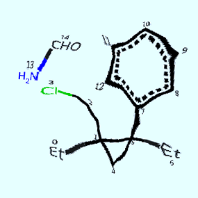 CCC1(CCl)CC1(CC)c1ccccc1.NC=O